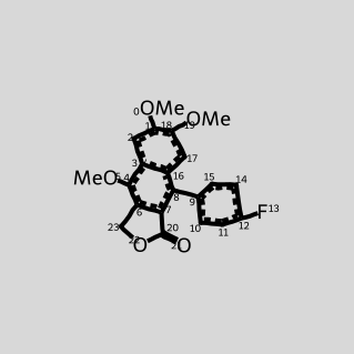 COc1cc2c(OC)c3c(c(-c4ccc(F)cc4)c2cc1OC)C(=O)OC3